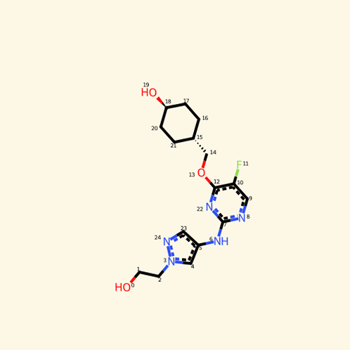 OCCn1cc(Nc2ncc(F)c(OC[C@H]3CC[C@H](O)CC3)n2)cn1